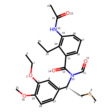 CCOc1cc([C@@H](CSC)N(C=O)C(=O)c2cccc(NC(C)=O)c2CC)ccc1OC